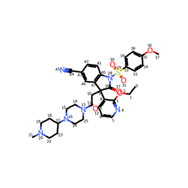 CCOc1ncccc1C1(CC(=O)N2CCN(C3CCN(C)CC3)CC2)C(=O)N(S(=O)(=O)c2ccc(OC)cc2)c2ccc(C#N)cc21